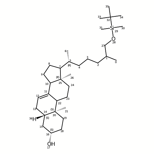 CC(CCC[C@@H](C)C1CCC2C3=CC[C@H]4C[C@@H](O)CC[C@]4(C)C3CC[C@@]21C)CO[Si](C)(C)C(C)(C)C